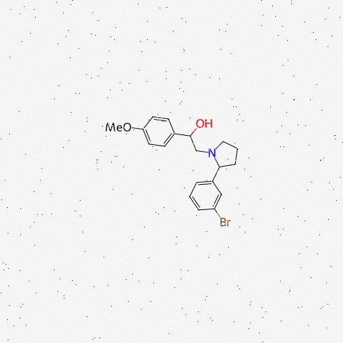 COc1ccc(C(O)CN2CCCC2c2cccc(Br)c2)cc1